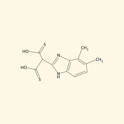 Cc1ccc2[nH]c(C(C(O)=S)C(O)=S)nc2c1C